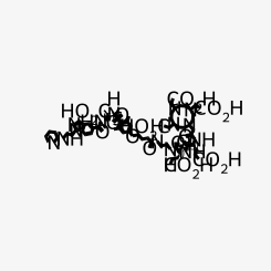 Cc1cc(OCCCC(=O)NCCNC(=O)[C@H](CCC(=O)O)NC(=O)[C@H](CCC(=O)O)NC(=O)CN2CCN(CC(=O)O)CCN(CC(=O)O)CCN(CC(=O)O)CC2)cc(C)c1S(=O)(=O)N[C@@H](CNC(=O)c1ccc2c(cnn2CCNC2CCCC=N2)c1)C(=O)O